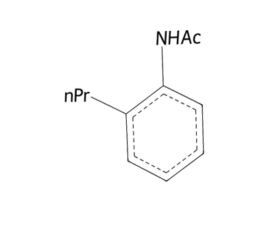 [CH2]C(=O)Nc1ccccc1CCC